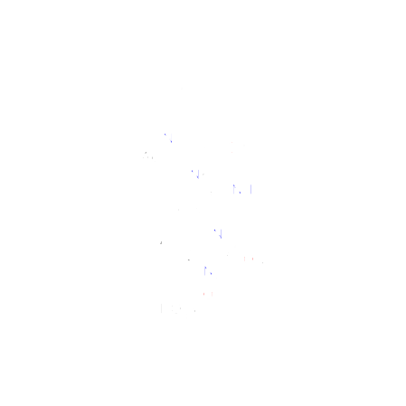 CC(=O)N1CCCCC1C(=O)NC(=N)C1CCC2CN1C(=O)N2OS(=O)(=O)O